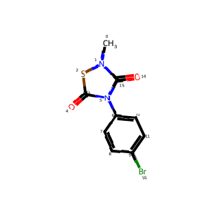 Cn1sc(=O)n(-c2ccc(Br)cc2)c1=O